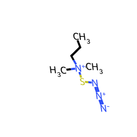 CCC[N+](C)(C)SN=[N+]=[N-]